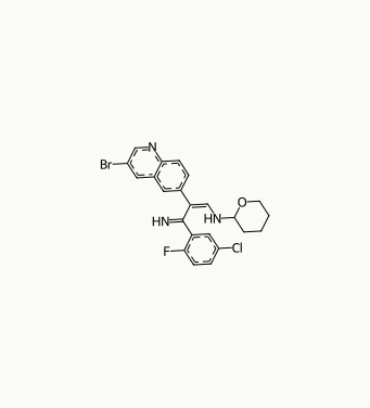 N=C(/C(=C\NC1CCCCO1)c1ccc2ncc(Br)cc2c1)c1cc(Cl)ccc1F